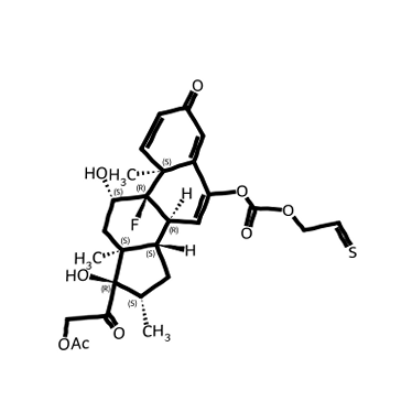 CC(=O)OCC(=O)[C@@]1(O)[C@@H](C)C[C@H]2[C@@H]3C=C(OC(=O)OCC=S)C4=CC(=O)C=C[C@]4(C)[C@@]3(F)[C@@H](O)C[C@@]21C